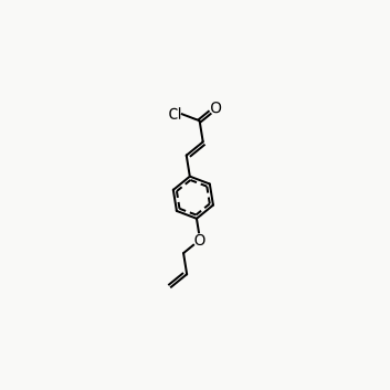 C=CCOc1ccc(/C=C/C(=O)Cl)cc1